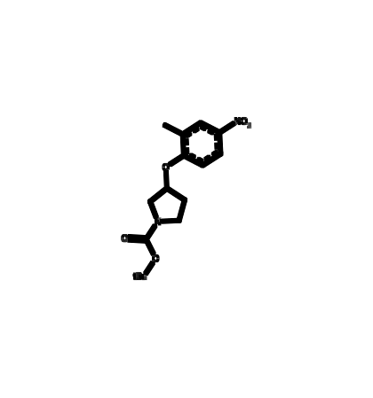 Cc1cc([N+](=O)[O-])ccc1OC1CCN(C(=O)OC(C)(C)C)C1